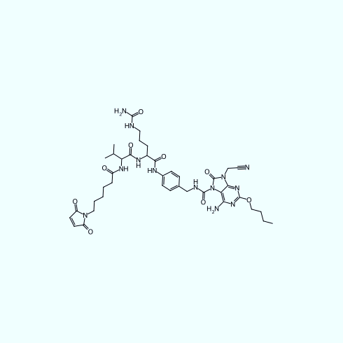 CCCCOc1nc(N)c2c(n1)n(CC#N)c(=O)n2C(=O)NCc1ccc(NC(=O)C(CCCNC(N)=O)NC(=O)C(NC(=O)CCCCCN2C(=O)C=CC2=O)C(C)C)cc1